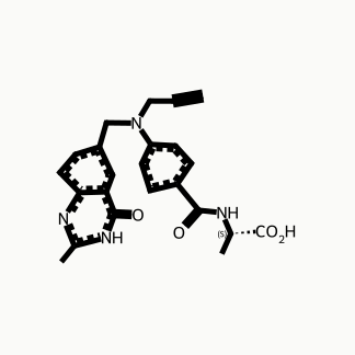 C#CCN(Cc1ccc2nc(C)[nH]c(=O)c2c1)c1ccc(C(=O)N[C@@H](C)C(=O)O)cc1